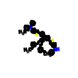 C=Cc1cccc(CCCCC2(CCCCc3cccc(C=C)c3)c3cc(-c4cc5cc(Nc6ccccc6)ccc5s4)ccc3-c3ccc(-c4cc5cc(N(c6ccccc6)c6cccc(C)c6)ccc5s4)cc32)c1